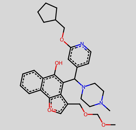 COCOCc1coc2c1c(C(c1ccnc(OCC3CCCC3)c1)N1CCN(C)CC1)c(O)c1ccccc12